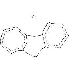 [Ir].c1ccc2c(c1)Cc1ccccc1-2